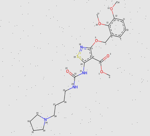 COC(=O)c1c(OCc2cccc(OC)c2OC)nsc1NC(=O)NCCCCN1CCCC1